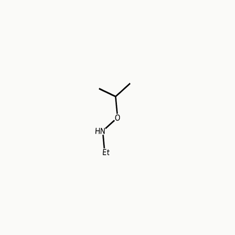 CCNOC(C)C